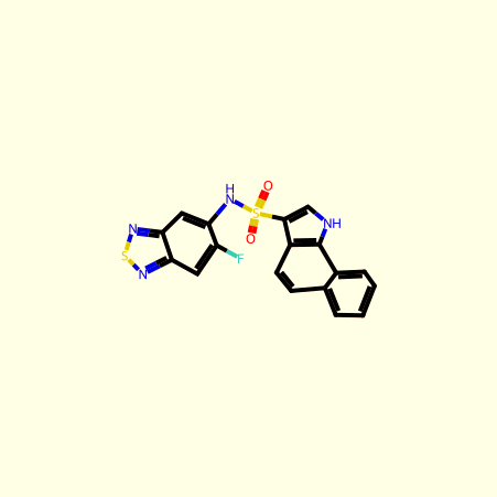 O=S(=O)(Nc1cc2nsnc2cc1F)c1c[nH]c2c1ccc1ccccc12